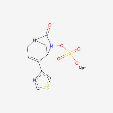 O=C1N2CC=C(c3cscn3)C(C2)N1OS(=O)(=O)[O-].[Na+]